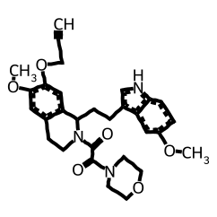 C#CCOc1cc2c(cc1OC)CCN(C(=O)C(=O)N1CCOCC1)C2CCc1c[nH]c2ccc(OC)cc12